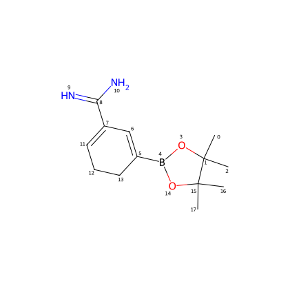 CC1(C)OB(C2=CC(C(=N)N)=CCC2)OC1(C)C